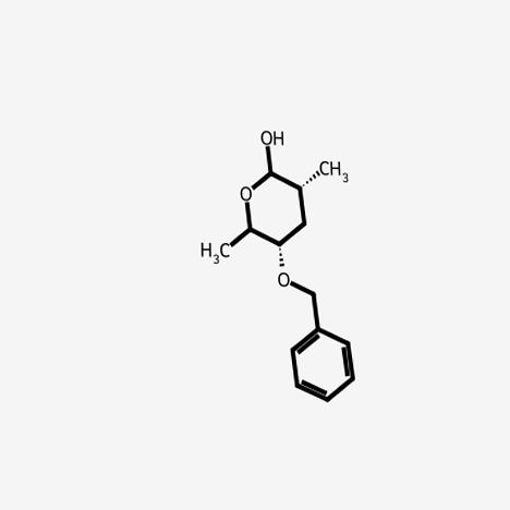 CC1OC(O)[C@H](C)C[C@@H]1OCc1ccccc1